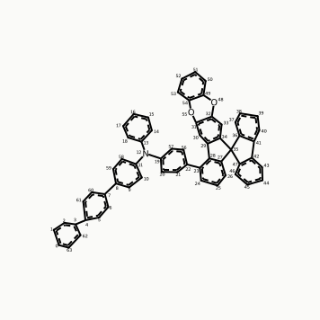 c1ccc(-c2ccc(-c3ccc(N(c4ccccc4)c4ccc(-c5cccc6c5-c5cc7c(cc5C65c6ccccc6-c6ccccc65)Oc5ccccc5O7)cc4)cc3)cc2)cc1